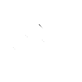 Cc1nc(Cl)nc(N2CCc3ccccc3[C@@H]2C)c1C